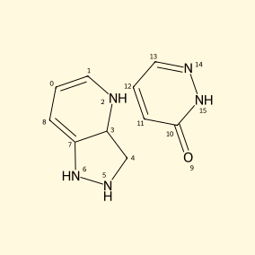 C1=CNC2CNNC2=C1.O=c1cccn[nH]1